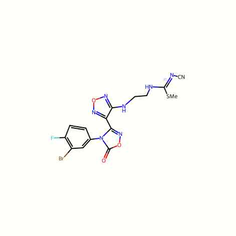 CS/C(=N\C#N)NCCNc1nonc1-c1noc(=O)n1-c1ccc(F)c(Br)c1